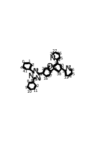 c1ccc(-c2nc(-c3ccccc3)nc(-c3ccc4c(c3)oc3c(-c5ccccn5)cc(-c5ccccn5)cc34)n2)cc1